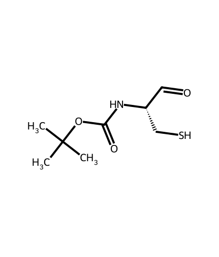 CC(C)(C)OC(=O)N[C@H](C=O)CS